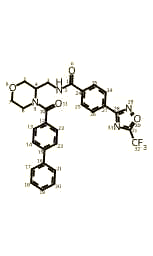 O=C(NCC1COCCN1C(=O)c1ccc(-c2ccccc2)cc1)c1ccc(-c2noc(C(F)(F)F)n2)cc1